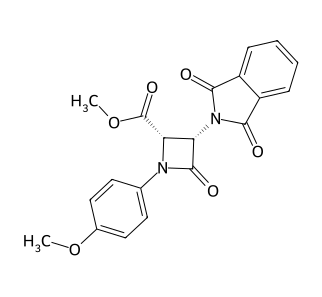 COC(=O)[C@@H]1[C@H](N2C(=O)c3ccccc3C2=O)C(=O)N1c1ccc(OC)cc1